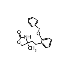 CC1(CCc2ccccc2OCc2ccccc2)COC(=O)N1